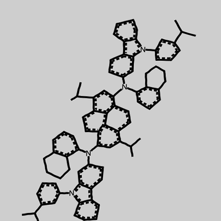 CC(C)c1cccc(-n2c3ccccc3c3ccc(N(c4cccc5c4CCCC5)c4cc(C(C)C)c5ccc6c(N(c7ccc8c9ccccc9n(-c9cccc(C(C)C)c9)c8c7)c7cccc8c7CCCC8)cc(C(C)C)c7ccc4c5c76)cc32)c1